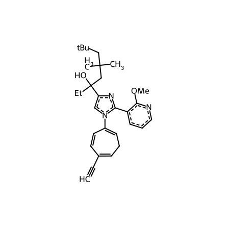 C#CC1=CCC=C(n2cc(C(O)(CC)CC(C)(C)CC(C)(C)C)nc2-c2cccnc2OC)C=C1